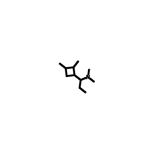 CCC(C1CC(C)C1C)N(C)C